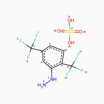 NNc1cc(C(F)(F)F)ccc1C(F)(F)F.O=S(=O)(O)O